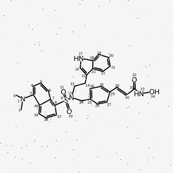 CN(C)c1cccc2c(S(=O)(=O)N(CCc3c[nH]c4ccccc34)Cc3ccc(/C=C/C(=O)NO)cc3)cccc12